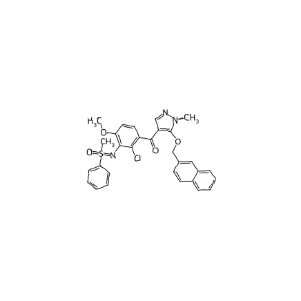 COc1ccc(C(=O)c2cnn(C)c2OCc2ccc3ccccc3c2)c(Cl)c1N=S(C)(=O)c1ccccc1